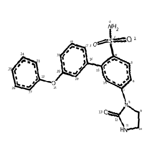 NS(=O)(=O)c1ccc(N2CCNC2=O)cc1-c1cccc(Oc2ccccc2)c1